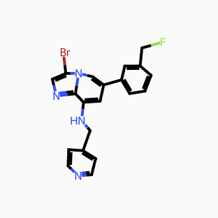 FCc1cccc(-c2cc(NCc3ccncc3)c3ncc(Br)n3c2)c1